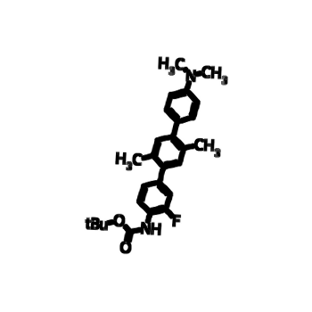 Cc1cc(-c2ccc(NC(=O)OC(C)(C)C)c(F)c2)c(C)cc1-c1ccc(N(C)C)cc1